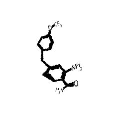 NC(=O)c1ccc(Cc2ccc(OC(F)(F)F)cc2)cc1N